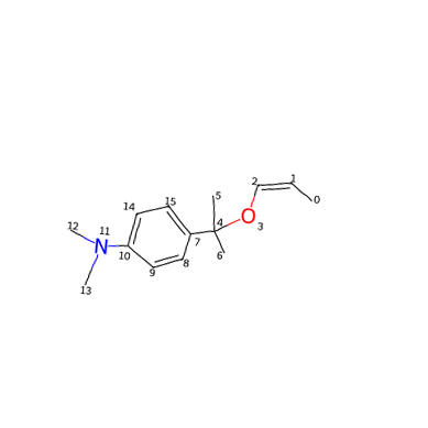 C/C=C\OC(C)(C)c1ccc(N(C)C)cc1